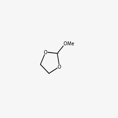 CO[C]1OCCO1